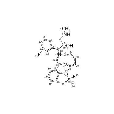 CNC[C@@H](O)[C@H](c1cccc(F)c1)n1cc(-c2ccccc2OC(F)(F)F)c2ccccc21